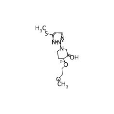 COCCO[C@H]1CCN([n+]2nccc(SC)n2)C[C@H]1O